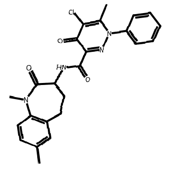 Cc1ccc2c(c1)CCC(NC(=O)c1nn(-c3ccccc3)c(C)c(Cl)c1=O)C(=O)N2C